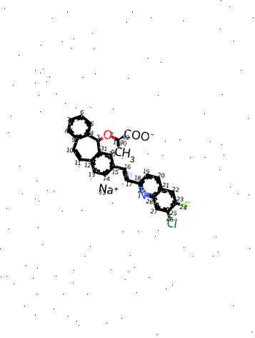 C[C@@H](OC1c2ccccc2C=Cc2ccc(/C=C/c3ccc4cc(F)c(Cl)cc4n3)cc21)C(=O)[O-].[Na+]